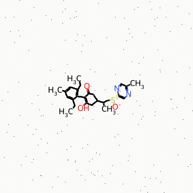 CCc1cc(C)cc(CC)c1C1=C(O)CC(C(C)C[S+]([O-])c2cnc(C)cn2)CC1=O